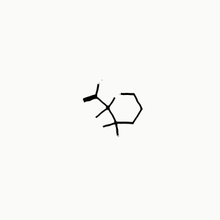 CC1(C(=O)O)OCCCC1(F)F